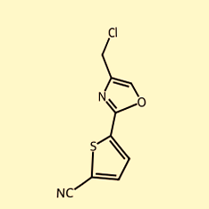 N#Cc1ccc(-c2nc(CCl)co2)s1